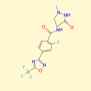 CN1CC(NC(=O)c2ccc(-c3noc(C(F)(F)F)n3)cc2F)C(=O)N1